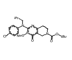 COn1c(N(CC(C)C)c2ccc(Cl)cc2)nc2c(c1=O)CN(C(=O)OC(C)(C)C)CC2